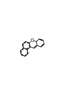 C1=CC2=Cc3c(ccc4ccccc34)OC2C=C1